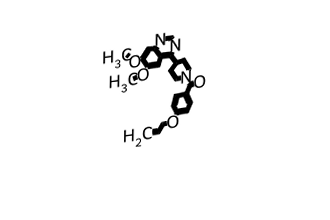 C=CCOc1ccc(C(=O)N2CCC(c3ncnc4cc(OC)c(OC)cc34)CC2)cc1